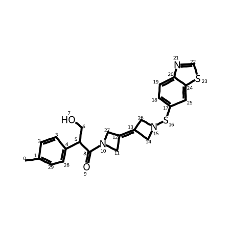 Cc1ccc(C(CO)C(=O)N2CC(=C3CN(Sc4ccc5ncsc5c4)C3)C2)cc1